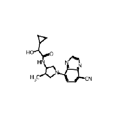 CC1CN(c2ccc(C#N)c3nccnc23)CC1NC(=O)C(O)C1CC1